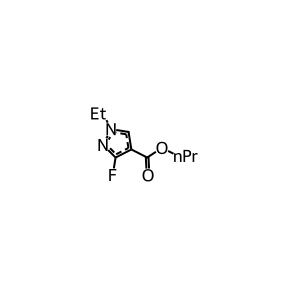 CCCOC(=O)c1cn(CC)nc1F